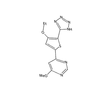 CCOc1cc(-c2cc(OC)ncn2)sc1-c1nnn[nH]1